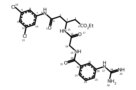 CCOC(=O)CC(CC(=O)Nc1cc(Cl)cc(Cl)c1)NC(=O)CNC(=O)c1cccc(NC(=N)N)c1